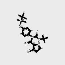 CC(C)(C)OC(=O)N(C(=O)c1sccc1Br)c1ccc(O[Si](C)(C)C(C)(C)C)cc1